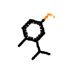 Cc1ccc(P)cc1C(C)C